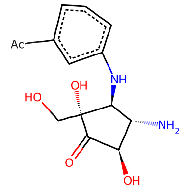 CC(=O)c1cccc(N[C@H]2[C@H](N)[C@@H](O)C(=O)[C@@]2(O)CO)c1